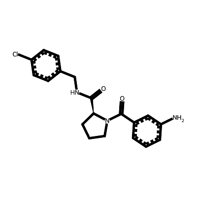 Nc1cccc(C(=O)N2CCC[C@H]2C(=O)NCc2ccc(Cl)cc2)c1